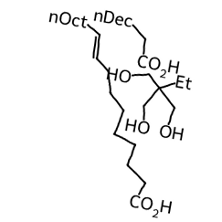 CCC(CO)(CO)CO.CCCCCCCCC=CCCCCCCCC(=O)O.CCCCCCCCCCCC(=O)O